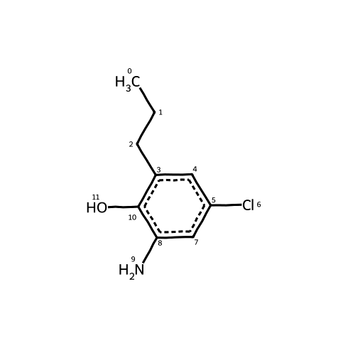 CCCc1cc(Cl)cc(N)c1O